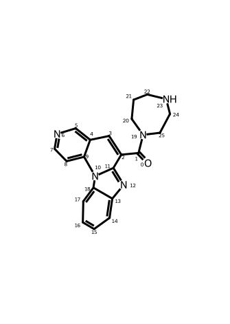 O=C(c1cc2cnccc2n2c1nc1ccccc12)N1CCCNCC1